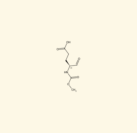 COC(=O)N[C@H]([C]=O)CCC(=O)O